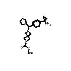 CC(C)(C)OC(=O)N1CC2(C1)CN(C(c1ccc(C3(N)CC3)cc1)C1CCCC1)C2